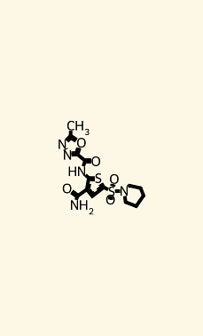 Cc1nnc(C(=O)Nc2sc(S(=O)(=O)N3CCCCC3)cc2C(N)=O)o1